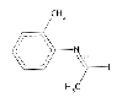 C/C(I)=N\c1ccccc1C